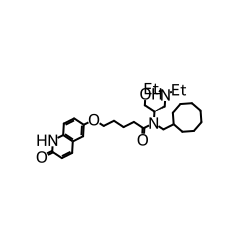 CCN(CC)C[C@H](CO)N(CC1CCCCCCC1)C(=O)CCCCOc1ccc2[nH]c(=O)ccc2c1